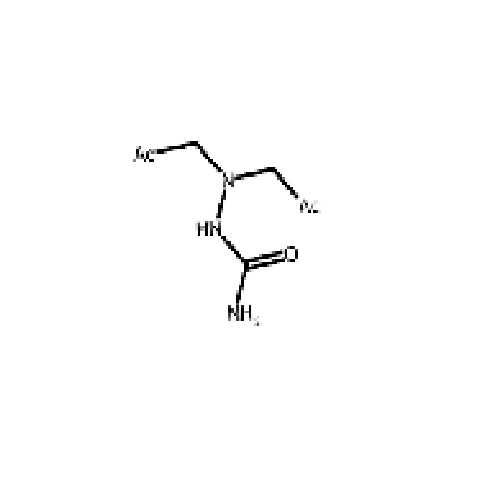 CC(=O)CN(CC(C)=O)NC(N)=O